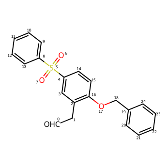 O=CCc1cc(S(=O)(=O)c2ccccc2)ccc1OCc1ccccc1